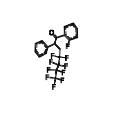 O=C(c1ccccc1F)C(CC(F)(F)C(F)(F)C(F)(F)C(F)(F)F)c1ccccc1